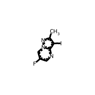 Cc1nn2cc(F)cnc2c1I